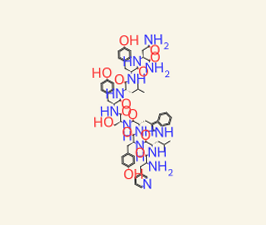 CC(C)C[C@H](NC(=O)[C@H](Cc1ccc(O)cc1)NC(=O)[C@H](CO)NC(=O)[C@H](Cc1c[nH]c2ccccc12)NC(=O)[C@H](Cc1ccc(O)cc1)NC(=O)[C@H](CC(C)C)NC(=O)[C@@H](N)Cc1cccnc1)C(=O)N[C@@H](Cc1ccc(O)cc1)C(=O)N[C@@H](CC(N)=O)C(N)=O